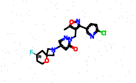 Cc1onc(-c2ccc(Cl)nc2)c1Cn1ncc(N2CC3(C[C@@H](F)CCO3)C2)cc1=O